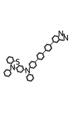 c1ccc(N(c2ccc(-c3ccc(-c4ccc(-c5ccc6ncncc6c5)cc4)cc3)cc2)c2ccc3c(c2)Sc2ccccc2N3c2ccccc2)cc1